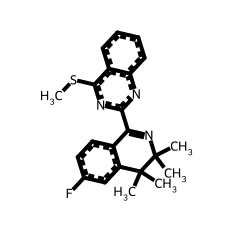 CSc1nc(C2=NC(C)(C)C(C)(C)c3cc(F)ccc32)nc2ccccc12